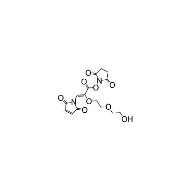 O=C(ON1C(=O)CCC1=O)C(=CN1C(=O)C=CC1=O)OCCOCCO